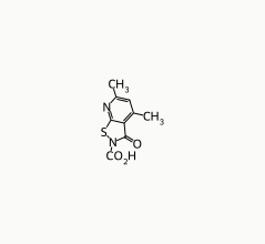 Cc1cc(C)c2c(=O)n(C(=O)O)sc2n1